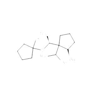 CC[C@H](C)C1CCCC1(C(C)O)[C@H](C)OC1(CC)CCCC1